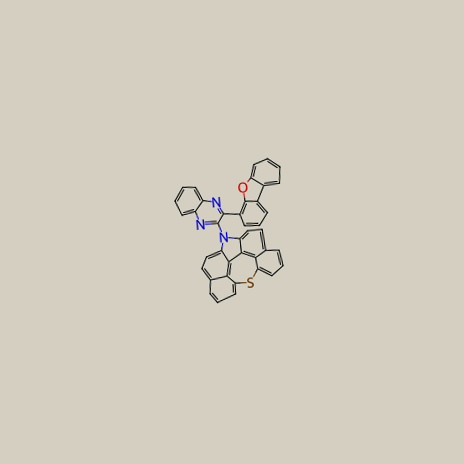 c1ccc2nc(-n3c4ccc5cccc6sc7cccc8ccc3c(c87)c4c56)c(-c3cccc4c3oc3ccccc34)nc2c1